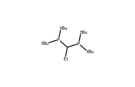 CCC(P(C(C)(C)C)C(C)(C)C)P(C(C)(C)C)C(C)(C)C